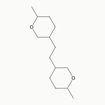 CC1CCC(CCC2CCC(C)OC2)CO1